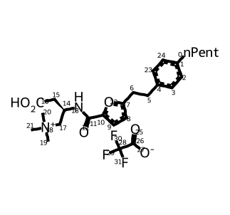 CCCCCc1ccc(CCc2ccc(C(=O)N[C@H](CC(=O)O)C[N+](C)(C)C)o2)cc1.O=C([O-])C(F)(F)F